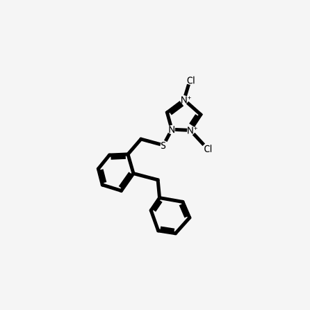 Cl[n+]1cn(SCc2ccccc2Cc2ccccc2)[n+](Cl)c1